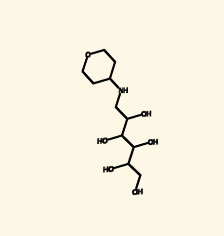 OCC(O)C(O)C(O)C(O)CNC1CCOCC1